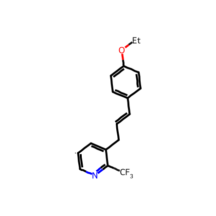 CCOc1ccc(C=CCc2c[c]cnc2C(F)(F)F)cc1